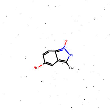 N#Cc1[nH][n+]([O-])c2ccc(O)cc12